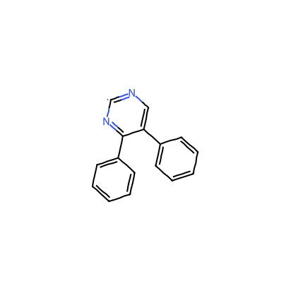 [c]1ncc(-c2ccccc2)c(-c2ccccc2)n1